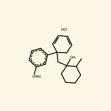 COc1cccc(C2(CC3(O)CCCCC3C)C=CC=CC2)c1.Cl